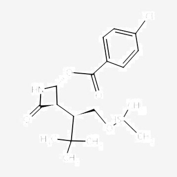 C[SiH](C)OC[C@H]([C@H]1C(=O)N[C@@H]1OC(=O)c1ccc(Cl)cc1)C(C)(C)C